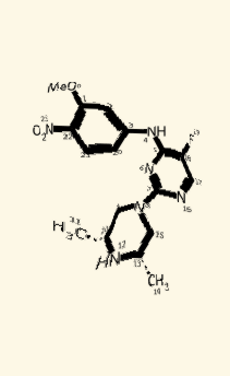 COc1cc(Nc2nc(N3C[C@@H](C)N[C@@H](C)C3)ncc2F)ccc1[N+](=O)[O-]